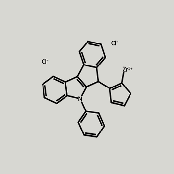 [Cl-].[Cl-].[Zr+2][C]1=C(C2c3ccccc3-c3c2n(-c2ccccc2)c2ccccc32)C=CC1